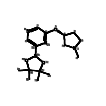 CN1CC[C@H](Oc2cncc(B3OC(C)(C)C(C)(C)O3)n2)C1